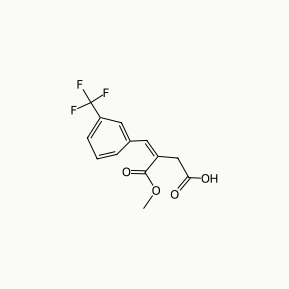 COC(=O)C(=Cc1cccc(C(F)(F)F)c1)CC(=O)O